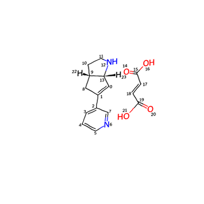 C1=C(c2cccnc2)C[C@@H]2CCN[C@H]12.O=C(O)/C=C/C(=O)O